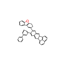 C1=C(c2cc3c(cc2-c2cccc(-c4ccccc4)c2)=CC2c4cccc5cccc(c45)C2C=3)CCc2oc3ccccc3c21